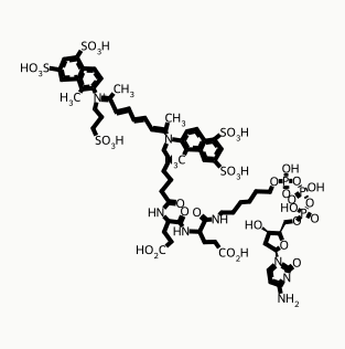 C\C(=C/C=C/C=C/C(C)=[N+](\CCCS(=O)(=O)O)c1ccc2c(S(=O)(=O)O)cc(S(=O)(=O)O)cc2c1C)N(CCCCCC(=O)NC(CCC(=O)O)C(=O)NC(CCC(=O)O)C(=O)NCCCCCCOP(=O)(O)OP(=O)(O)OP(=O)(O)OC[C@H]1O[C@@H](n2ccc(N)nc2=O)C[C@H]1O)c1ccc2c(S(=O)(=O)O)cc(S(=O)(=O)O)cc2c1C